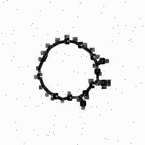 O=C1CCCCCCC/C=C\CCCCCCCC(=O)OC(O)CO1